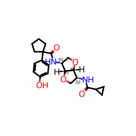 O=C(N[C@H]1CO[C@H]2[C@@H]1OC[C@@H]2NC(=O)C1(c2ccc(O)cc2)CCCC1)C1CC1